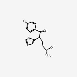 C[S+]([O-])CCC(C(=O)c1ccc(F)cc1)c1cccs1